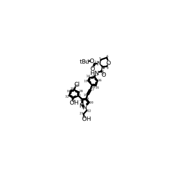 CC(C)(C)OC(=O)N1CCOC[C@H]1C(=O)Nc1ccc(C#Cc2cn(CCO)nc2-c2cc(Cl)ccc2O)cc1